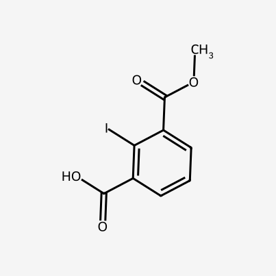 COC(=O)c1cccc(C(=O)O)c1I